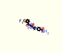 NC(=O)C1CCC(N2CC(NC(=O)CNC(=O)c3cccc(C(F)(F)F)c3)C2)CC1